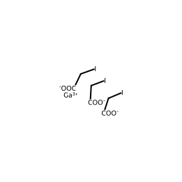 O=C([O-])CI.O=C([O-])CI.O=C([O-])CI.[Ga+3]